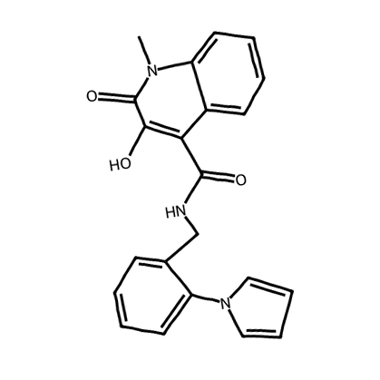 Cn1c(=O)c(O)c(C(=O)NCc2ccccc2-n2cccc2)c2ccccc21